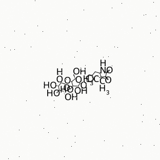 CC1(C)C(=O)C(=O)NC1Cc1ccc(O[C@@H]2O[C@H](CO)[C@@H](O[C@@H]3O[C@H](CO)[C@@H](O)[C@H](O)[C@H]3O)[C@H](O)[C@H]2O)cc1